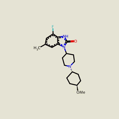 CO[C@H]1CC[C@H](N2CCC(n3c(=O)[nH]c4c(F)cc(C)cc43)CC2)CC1